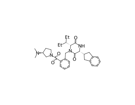 CCC(CC)[C@@H]1C(=O)N[C@H](C2Cc3ccccc3C2)C(=O)N1Cc1ccccc1S(=O)(=O)N1CC[C@H](N(C)C)C1